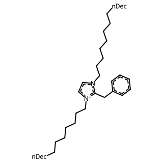 CCCCCCCCCCCCCCCCCCn1cc[n+](CCCCCCCCCCCCCCCCC)c1Cc1ccccc1